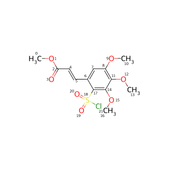 COC(=O)/C=C/c1cc(OC)c(OC)c(OC)c1S(=O)(=O)Cl